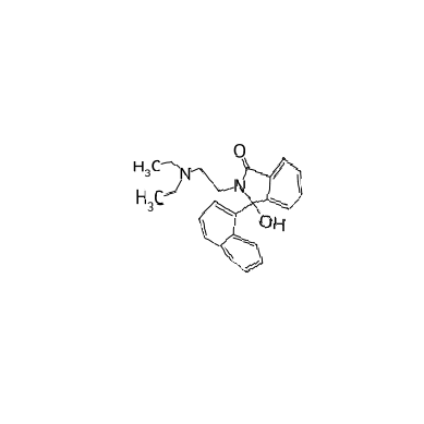 CCN(CC)CCN1C(=O)c2ccccc2C1(O)c1cccc2ccccc12